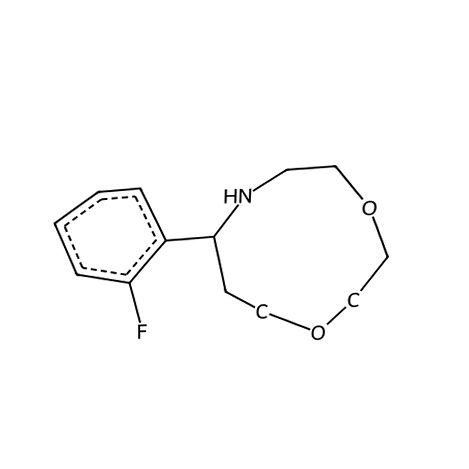 Fc1ccccc1C1CCOCCOCCN1